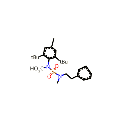 Cc1cc(C(C)(C)C)c(N(C(=O)O)S(=O)(=O)N(C)CCc2ccccc2)c(C(C)(C)C)c1